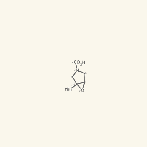 CC(C)(C)C12CN(C(=O)O)CC1O2